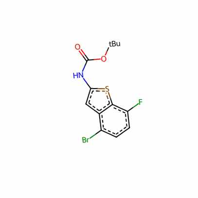 CC(C)(C)OC(=O)Nc1cc2c(Br)ccc(F)c2s1